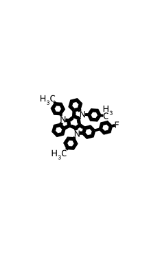 Cc1ccc(-n2c3ccccc3c3c2c2c4ccccc4n(-c4ccc(C)cc4)c2c2c4cc(-c5ccc(F)cc5)ccc4n(-c4ccc(C)cc4)c32)cc1